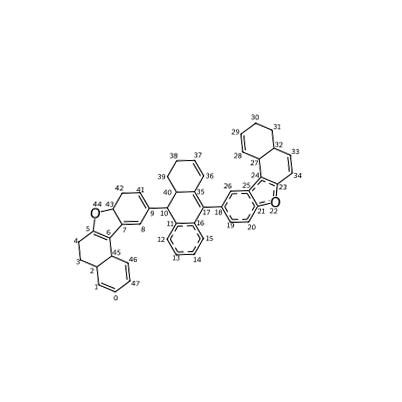 C1=CC2CCC3=C(C4=CC(C5c6ccccc6C(c6ccc7oc8c(c7c6)C6C=CCCC6C=C8)=C6C=CCCC65)=CCC4O3)C2C=C1